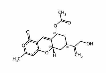 C=C(CO)[C@@H]1C[C@@H]2Oc3cc(C)oc(=O)c3C=C2[C@H](OC(C)=O)C1